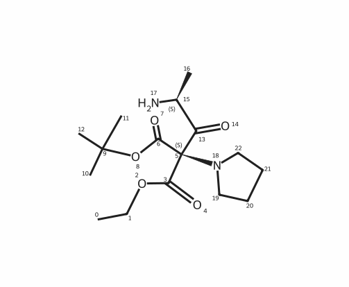 CCOC(=O)[C@](C(=O)OC(C)(C)C)(C(=O)[C@H](C)N)N1CCCC1